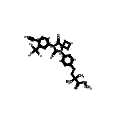 CNC(=O)C(C)(C)CCc1ccc(N2C(=S)N(c3ccc(C#N)c(C(F)(F)F)c3)C(=O)C23CCC3)cc1